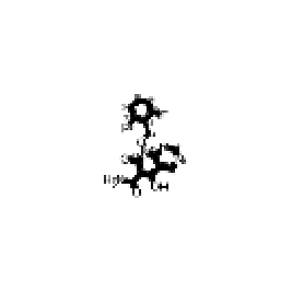 NC(=O)c1c(O)c2cncnc2n(OCc2c(F)cccc2F)c1=O